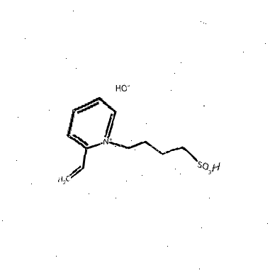 C=Cc1cccc[n+]1CCCCS(=O)(=O)O.[OH-]